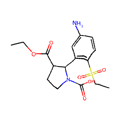 CCOC(=O)C1CCN(C(=O)O)C1c1cc(N)ccc1S(=O)(=O)CC